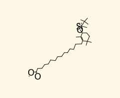 COC(=O)CCCCCCCCCCCCCCC1=C(C)C(O[Si](C)(C)C(C)(C)C)CCC1(C)C